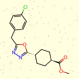 COC(=O)[C@H]1CC[C@H](c2nnc(Cc3ccc(Cl)cc3)o2)CC1